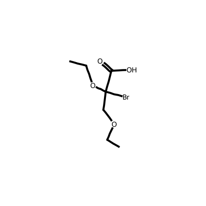 CCOCC(Br)(OCC)C(=O)O